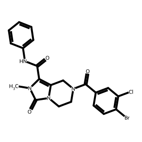 Cn1c(C(=O)Nc2ccccc2)c2n(c1=O)CCN(C(=O)c1ccc(Br)c(Cl)c1)C2